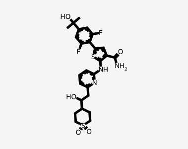 CC(C)(O)c1cc(F)c(-c2cc(C(N)=O)c(Nc3cccc(CC(O)C4CCS(=O)(=O)CC4)n3)s2)c(F)c1